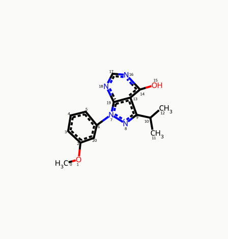 COc1cccc(-n2nc(C(C)C)c3c(O)ncnc32)c1